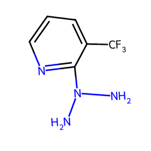 NN(N)c1ncccc1C(F)(F)F